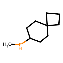 CPC1CCC2(CCC2)CC1